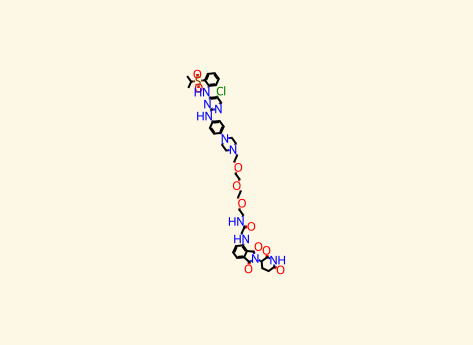 CC(C)S(=O)(=O)c1ccccc1Nc1nc(Nc2ccc(N3CCN(CCOCCOCCOCCNC(=O)CNc4cccc5c4C(=O)N(C4CCC(=O)NC4=O)C5=O)CC3)cc2)ncc1Cl